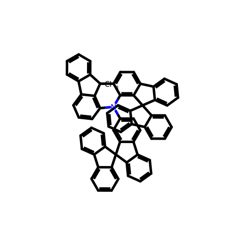 CC12c3ccccc3-c3cccc(c31)N(c1ccc3c(c1)C1(c4ccccc4-c4ccccc41)c1ccccc1-3)c1c2ccc2c1C1(c3ccccc3-c3ccccc31)c1ccccc1-2